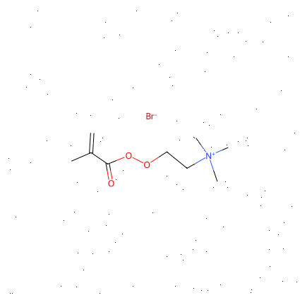 C=C(C)C(=O)OOCC[N+](C)(C)C.[Br-]